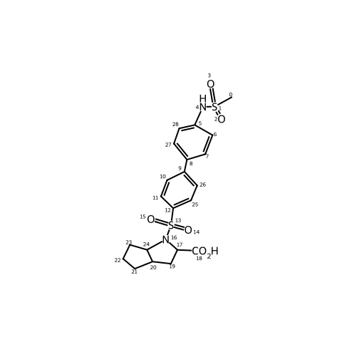 CS(=O)(=O)Nc1ccc(-c2ccc(S(=O)(=O)N3C(C(=O)O)CC4CCCC43)cc2)cc1